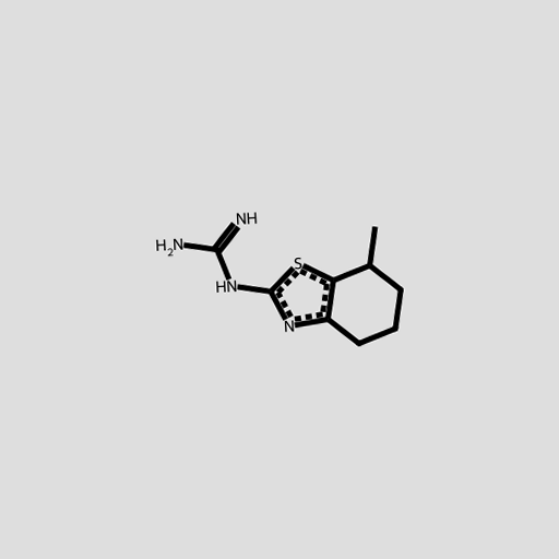 CC1CCCc2nc(NC(=N)N)sc21